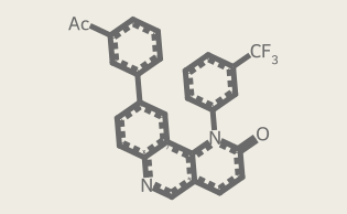 CC(=O)c1cccc(-c2ccc3ncc4ccc(=O)n(-c5cccc(C(F)(F)F)c5)c4c3c2)c1